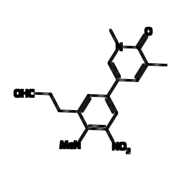 CNc1c(CCC=O)cc(-c2cc(C)c(=O)n(C)c2)cc1[N+](=O)[O-]